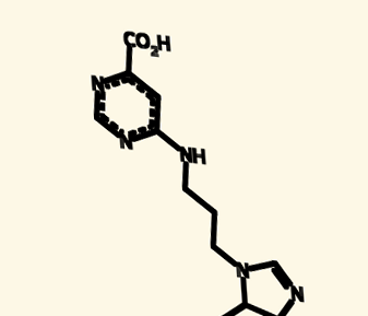 CC1CN=CN1CCCNc1cc(C(=O)O)ncn1